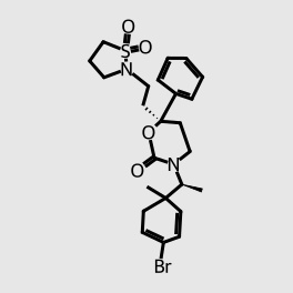 C[C@H](N1CC[C@](CCN2CCCS2(=O)=O)(c2ccccc2)OC1=O)C1(C)C=CC(Br)=CC1